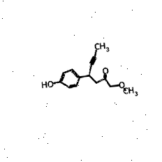 CC#C[C@@H](CC(=O)COC)c1ccc(O)cc1